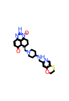 O=C1C=Cc2n[nH][n+](=O)c3c2C1[C@H](CN1CCC(NCc2cc4c(cn2)SCCO4)CC1)CC3